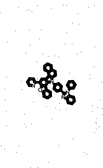 c1ccc(-n2c(-c3ccc(-n4c5ccc6ccccc6c5c5cc(-c6ccccn6)c6oc7ccccc7c6c54)cc3)nc3ccccc32)cc1